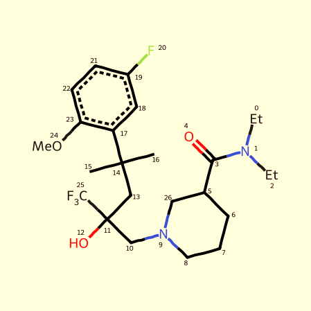 CCN(CC)C(=O)C1CCCN(CC(O)(CC(C)(C)c2cc(F)ccc2OC)C(F)(F)F)C1